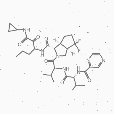 CCCC(NC(=O)[C@@H]1[C@H]2CCC(F)(F)[C@H]2CN1C(=O)[C@@H](NC(=O)[C@H](NC(=O)c1cnccn1)C(C)C)C(C)C)C(=O)C(=O)NC1CC1